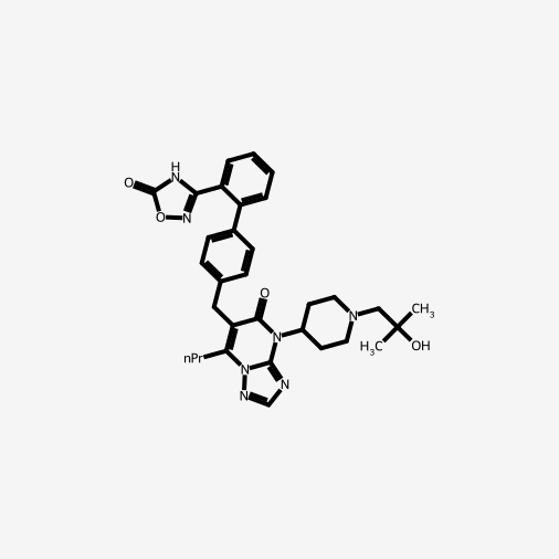 CCCc1c(Cc2ccc(-c3ccccc3-c3noc(=O)[nH]3)cc2)c(=O)n(C2CCN(CC(C)(C)O)CC2)c2ncnn12